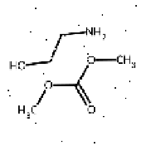 COC(=O)OC.NCCO